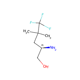 CC(C)(C[C@@H](N)CO)C(F)(F)F